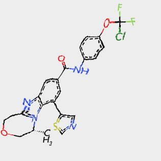 C[C@@H]1COCc2nc3cc(C(=O)Nc4ccc(OC(F)(F)Cl)cc4)cc(-c4cncs4)c3n21